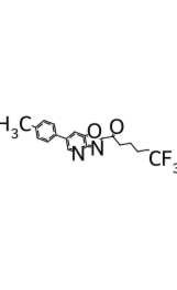 Cc1ccc(-c2cnc3nc(C(=O)CCCCC(F)(F)F)oc3c2)cc1